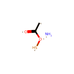 CC(=O)OS.N